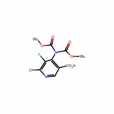 CC(C)(C)OC(=O)N(C(=O)OC(C)(C)C)c1c(C(=O)O)cnc(Cl)c1F